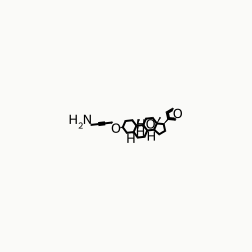 C[C@]12CC[C@H](OCC#CCN)C[C@H]1CC[C@@H]1[C@@H]2CC[C@]2(C)[C@@H](c3ccoc3)CC[C@]12O